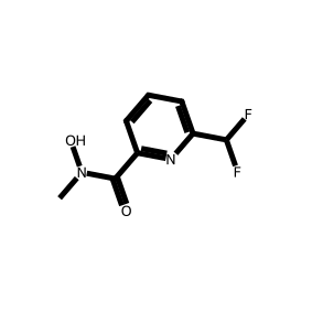 CN(O)C(=O)c1cccc(C(F)F)n1